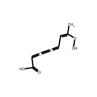 CC(=CC=C=C=CC(=O)O)OO